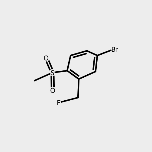 CS(=O)(=O)c1ccc(Br)cc1CF